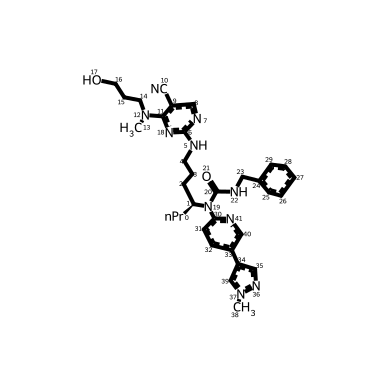 CCC[C@@H](CCCNc1ncc(C#N)c(N(C)CCCO)n1)N(C(=O)NCc1ccccc1)c1ccc(-c2cnn(C)c2)cn1